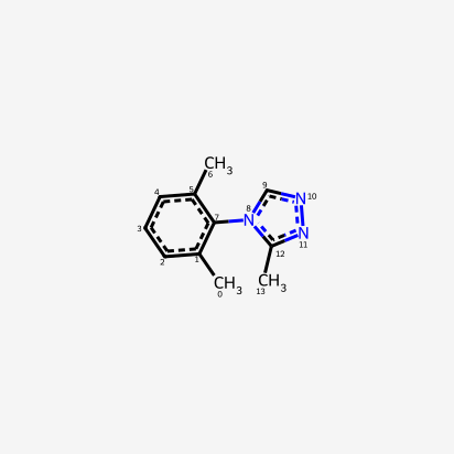 Cc1cccc(C)c1-n1cnnc1C